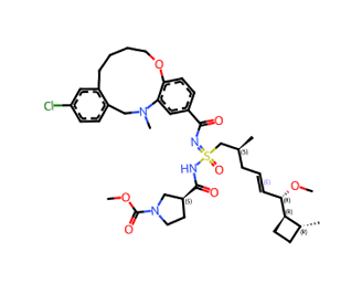 COC(=O)N1CC[C@H](C(=O)NS(=O)(C[C@@H](C)C/C=C/[C@H](OC)[C@@H]2CC[C@H]2C)=NC(=O)c2ccc3c(c2)N(C)Cc2ccc(Cl)cc2CCCCO3)C1